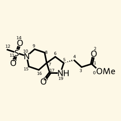 COC(=O)CC[C@H]1CC2(CCN(S(C)(=O)=O)CC2)C(=O)N1